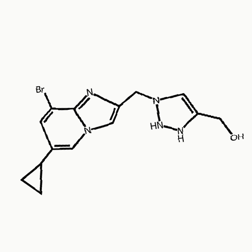 OCC1=CN(Cc2cn3cc(C4CC4)cc(Br)c3n2)NN1